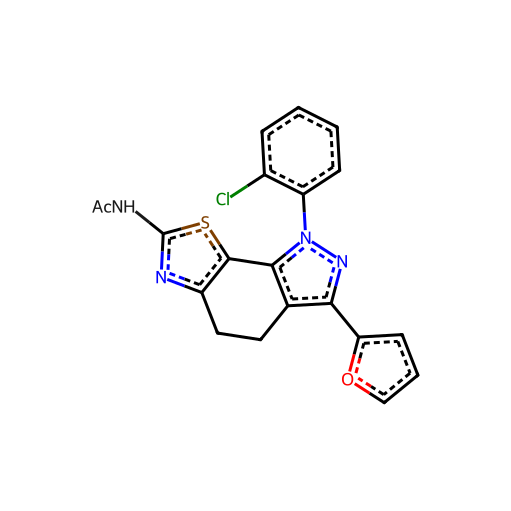 CC(=O)Nc1nc2c(s1)-c1c(c(-c3ccco3)nn1-c1ccccc1Cl)CC2